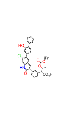 CC(C)OC(=O)OC(C)C(C(=O)O)c1cccc(-c2cc3cc(-c4ccc(-c5ccccc5)c(O)c4)c(Cl)cc3[nH]c2=O)c1